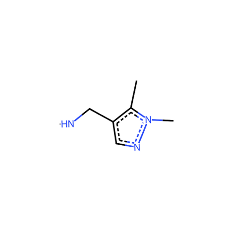 Cc1c(C[NH])cnn1C